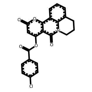 O=C(Oc1cc(=O)oc2c1c(=O)n1c3c(cccc23)CCC1)c1ccc(Cl)cc1